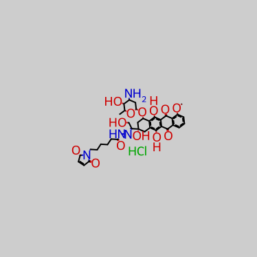 COc1cccc2c1C(=O)c1c(O)c3c(c(O)c1C2=O)C[C@@](O)(/C(CO)=N/NC(=O)CCCCCN1C(=O)C=CC1=O)C[C@@H]3OC1CC(N)C(O)C(C)O1.Cl